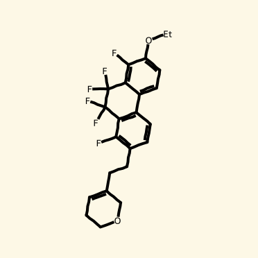 CCOc1ccc2c(c1F)C(F)(F)C(F)(F)c1c-2ccc(CCC2=CCCOC2)c1F